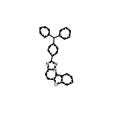 c1ccc(C(c2ccccc2)c2ccc(-c3nc4ccc5oc6ccccc6c5n4n3)cc2)cc1